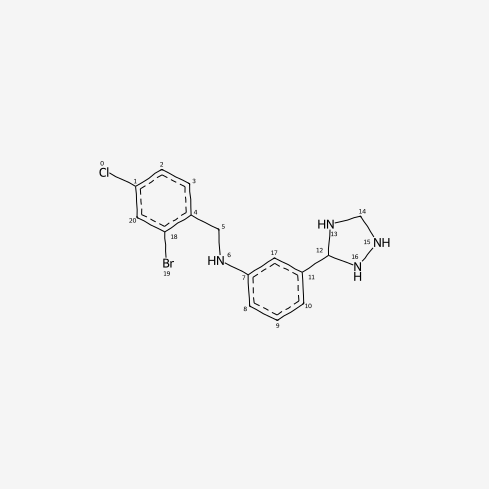 Clc1ccc(CNc2cccc(C3NCNN3)c2)c(Br)c1